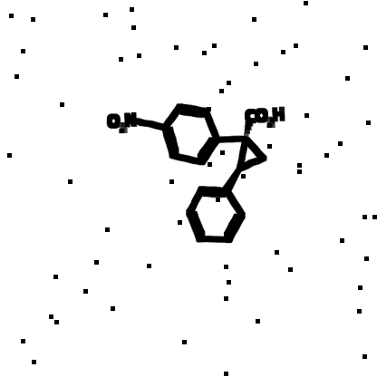 O=C(O)[C@]1(c2ccc([N+](=O)[O-])cc2)C[C@H]1c1ccccc1